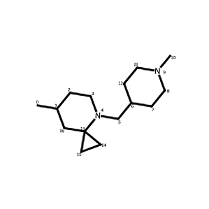 CC1CCN(CC2CCN(C)CC2)C2(CC2)C1